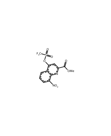 COC(=O)c1cc(OS(=O)(=O)C(F)(F)F)c2cccc([N+](=O)[O-])c2n1